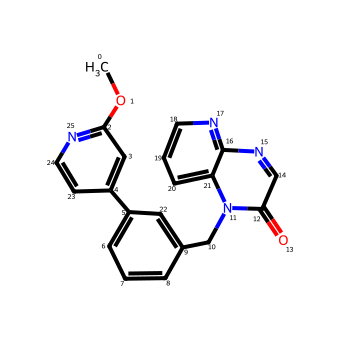 COc1cc(-c2cccc(Cn3c(=O)cnc4ncccc43)c2)ccn1